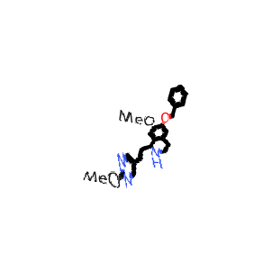 COc1ncc(/C=C/C2NCCc3cc(OCc4ccccc4)c(OC)cc32)cn1